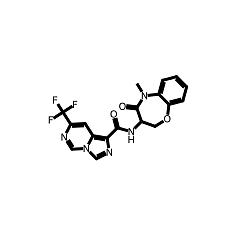 CN1C(=O)C(NC(=O)c2ncn3cnc(C(F)(F)F)cc23)COc2ccccc21